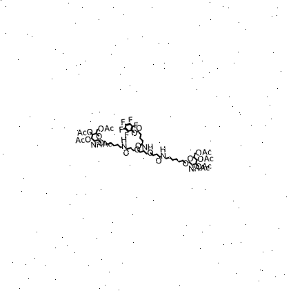 CC(=O)NC1C(OCCCCCCNC(=O)CCOCC(COCCC(=O)NCCCCCCOC2OC(COC(C)=O)C(OC(C)=O)C(OC(C)=O)C2NC(C)=O)NC(=O)CCCC(=O)Oc2c(F)c(F)c(F)c(F)c2F)OC(COC(C)=O)C(OC(C)=O)C1OC(C)=O